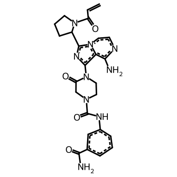 C=CC(=O)N1CCCC1c1nc(N2CCN(C(=O)Nc3cccc(C(N)=O)c3)CC2=O)c2c(N)nccn12